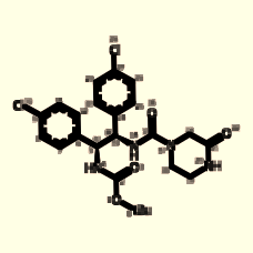 CC(C)(C)OC(=O)N[C@@H](c1ccc(Cl)cc1)[C@H](NC(=O)N1CCNC(=O)C1)c1ccc(Cl)cc1